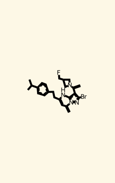 C=C(c1c(Br)nn2c1NC(CCc1ccc(C(C)C)cc1)=CC2=C)N1CC(CF)C1